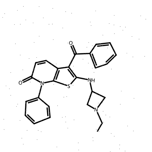 CCN1CC(Nc2sc3c(ccc(=O)n3-c3ccccc3)c2C(=O)c2ccccc2)C1